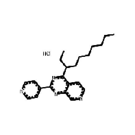 CCCCCCCC(CC)c1nc(-c2ccncc2)nc2cnccc12.Cl